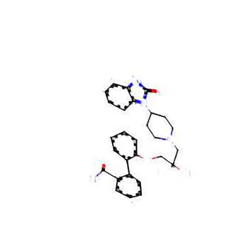 CC(O)(COc1ccccc1-c1ccccc1C(N)=O)CN1CCC(n2c(=O)[nH]c3ccccc32)CC1